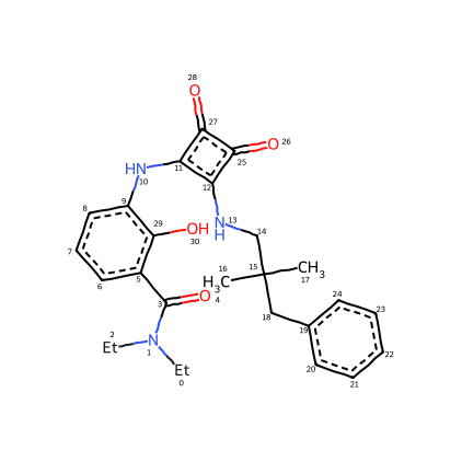 CCN(CC)C(=O)c1cccc(Nc2c(NCC(C)(C)Cc3ccccc3)c(=O)c2=O)c1O